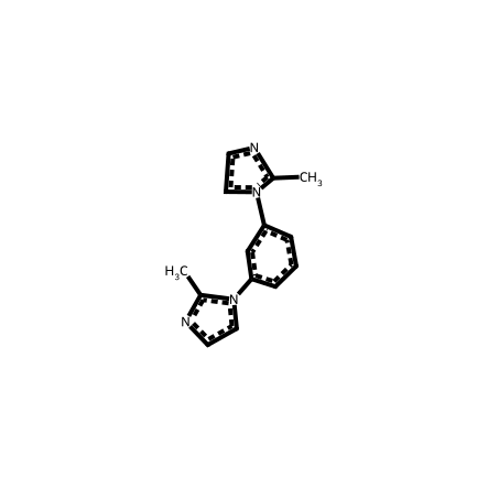 Cc1nccn1-c1cccc(-n2ccnc2C)c1